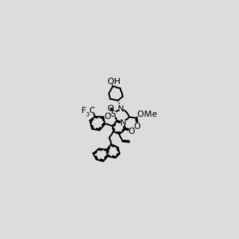 C=Cc1c(Cc2cccc3ccccc23)c(-c2cccc(C(F)(F)F)c2)c2n(c1=O)C(C(=O)OC)CN([C@H]1CC[C@@H](O)CC1)S2(=O)=O